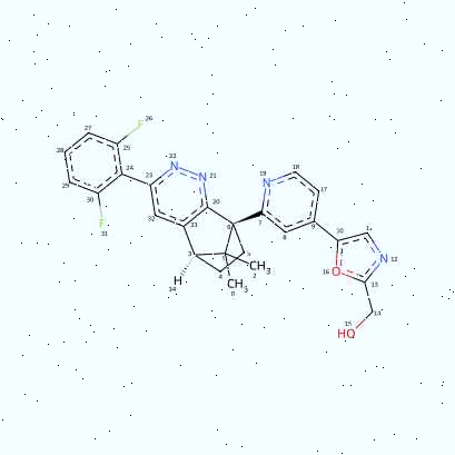 CC1(C)[C@H]2CC[C@@]1(c1cc(-c3cnc(CO)o3)ccn1)c1nnc(-c3c(F)cccc3F)cc12